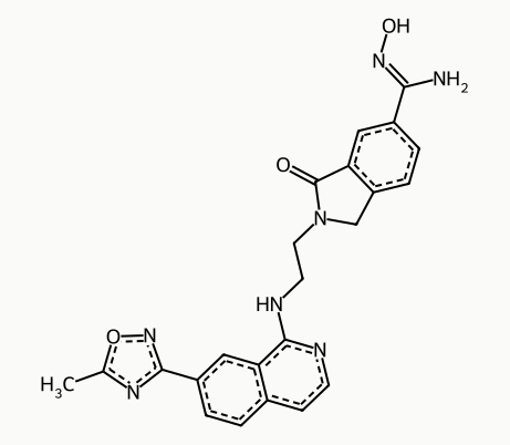 Cc1nc(-c2ccc3ccnc(NCCN4Cc5ccc(C(N)=NO)cc5C4=O)c3c2)no1